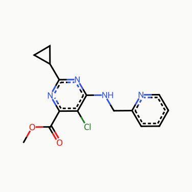 COC(=O)c1nc(C2CC2)nc(NCc2ccccn2)c1Cl